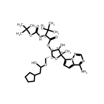 CC(C)(C)OC(=O)N[C@H](C(=O)O[C@H]1[C@@H](O)[C@](C)(c2ccc3c(N)ncnn23)O[C@@H]1COC(O)CC1CCCC1)C(C)(C)C